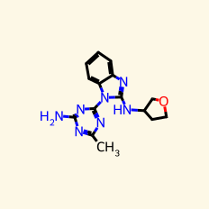 Cc1nc(N)nc(-n2c(NC3CCOC3)nc3ccccc32)n1